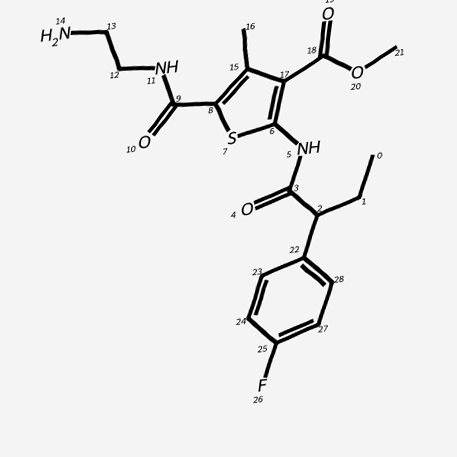 CCC(C(=O)Nc1sc(C(=O)NCCN)c(C)c1C(=O)OC)c1ccc(F)cc1